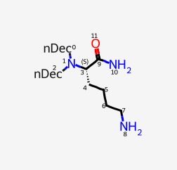 CCCCCCCCCCN(CCCCCCCCCC)[C@@H](CCCCN)C(N)=O